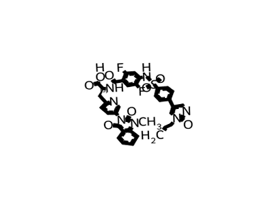 C=CCn1cc(-c2ccc(S(=O)(=O)Nc3cc(F)c(C(=O)N[C@@H](Cc4ccc(-n5c(=O)c6ccccc6n(C)c5=O)cn4)C(=O)O)cc3F)cc2)cnc1=O